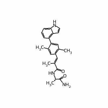 C/C(=C\c1cc(C)c(-c2cccc3[nH]ccc23)cc1C)C(=O)N[C@H](C)C(N)=O